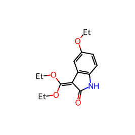 CCOC(OCC)=C1C(=O)Nc2ccc(OCC)cc21